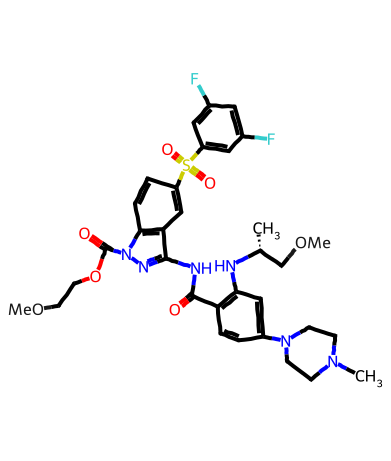 COCCOC(=O)n1nc(NC(=O)c2ccc(N3CCN(C)CC3)cc2N[C@H](C)COC)c2cc(S(=O)(=O)c3cc(F)cc(F)c3)ccc21